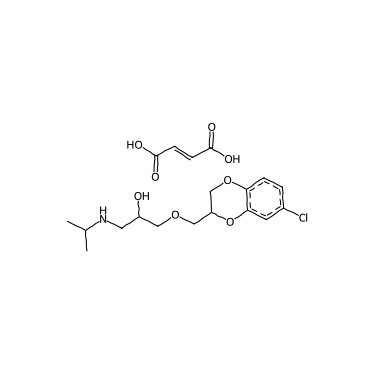 CC(C)NCC(O)COCC1COc2ccc(Cl)cc2O1.O=C(O)/C=C/C(=O)O